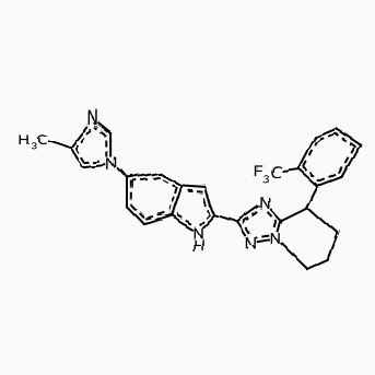 Cc1cn(-c2ccc3[nH]c(-c4nc5n(n4)CCCC5c4ccccc4C(F)(F)F)cc3c2)cn1